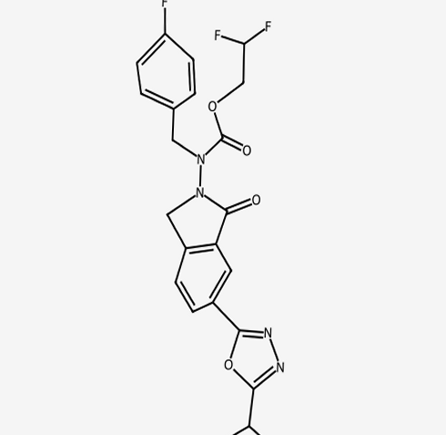 O=C(OCC(F)F)N(Cc1ccc(F)cc1)N1Cc2ccc(-c3nnc(C(F)F)o3)cc2C1=O